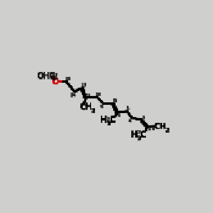 CC(C)=CCC/C(C)=C/CC/C(C)=C/CCOC=O